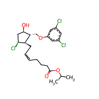 CC(C)OC(=O)CCC/C=C\C[C@@H]1[C@@H](COc2cc(Cl)cc(Cl)c2)[C@H](O)C[C@@H]1Cl